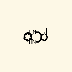 c1ccc2c(c1)NCC1CCNC1CN2